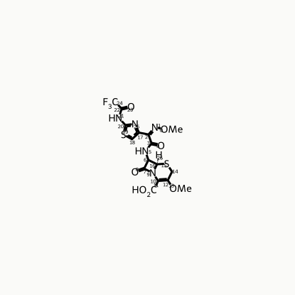 CO/N=C(\C(=O)NC1C(=O)N2C(C(=O)O)=C(OC)CS[C@H]12)c1csc(NC(=O)C(F)(F)F)n1